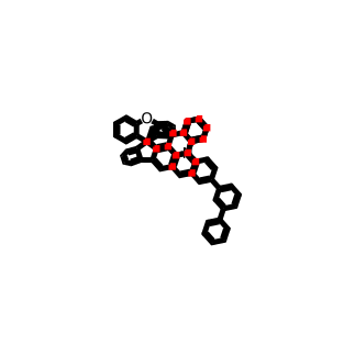 c1ccc(-c2cccc(-c3ccc(N(c4ccc5c(c4)C4(c6ccccc6Oc6ccccc64)c4ccccc4-5)c4ccccc4-c4ccccc4-c4ccccc4-c4ccccc4)cc3)c2)cc1